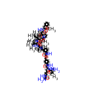 C=C(C)[C@H](N)C(=O)N[C@@H](CCCCNC(N)=O)C(=O)Nc1ccc(COC(=O)Nc2cccc(CN(C)[C@H](C(=O)N[C@H](C(=O)N(C)[C@@H]([C@@H](C)CC)[C@@H](CC(=O)N3CCC[C@H]3[C@H](OC)[C@@H](C)C(=O)N[C@@H](Cc3ccccc3)C(=O)OC)OC)C(C)C)C(C)C)c2)cc1